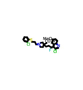 COc1ccc2ncc(Cl)c([C@@H](F)CCC3(CC(=O)O)CCN(CCCSc4ccccc4Cl)CC3)c2c1